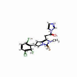 Cn1c(CC(=O)n2ccnc2)c2n(c1=S)C[C@@H](c1c(F)ccc(Cl)c1F)C2